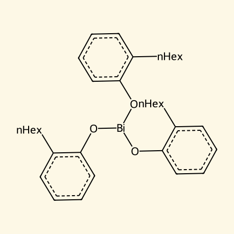 CCCCCCc1ccccc1[O][Bi]([O]c1ccccc1CCCCCC)[O]c1ccccc1CCCCCC